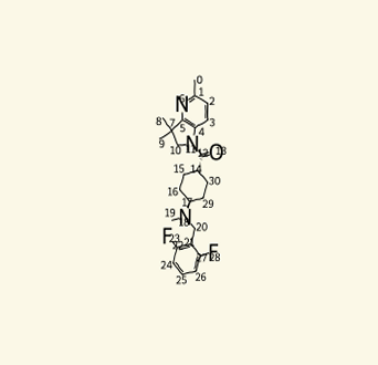 Cc1ccc2c(n1)C(C)(C)CN2C(=O)[C@H]1CC[C@H](N(C)Cc2c(F)cccc2F)CC1